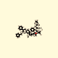 COC(=O)C1(N(C(=O)c2ccco2)c2cccc(N(C(=O)OC(C)(C)C)C(N)=NC(=O)OC(C)(C)C)c2)CCN(CC(C(=O)OCc2ccccc2)c2ccccc2)CC1